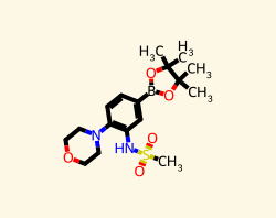 CC1(C)OB(c2ccc(N3CCOCC3)c(NS(C)(=O)=O)c2)OC1(C)C